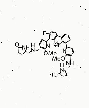 COc1nc(-c2cccc(-c3ccc(F)c(-c4ccc(CNC[C@@H]5CCC(=O)N5)c(OC)n4)c3Cl)c2Cl)ccc1CNC[C@@H]1CCC(O)N1